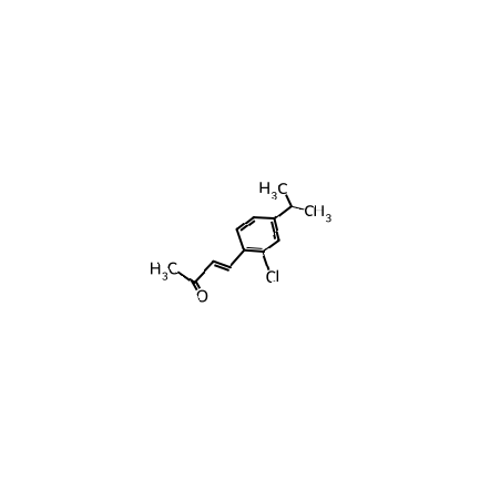 CC(=O)/C=C/c1ccc(C(C)C)cc1Cl